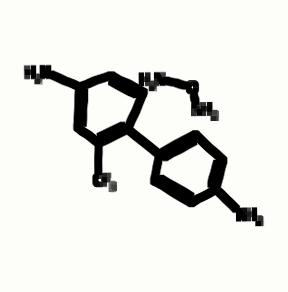 NON.Nc1ccc(-c2ccc(N)cc2C(F)(F)F)cc1